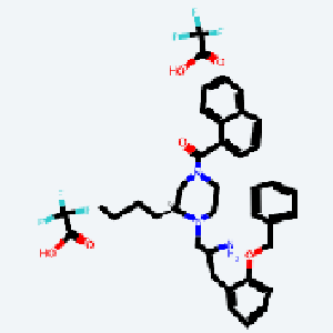 CCCC[C@H]1CN(C(=O)c2cccc3ccccc23)CCN1CC(N)Cc1ccccc1OCc1ccccc1.O=C(O)C(F)(F)F.O=C(O)C(F)(F)F